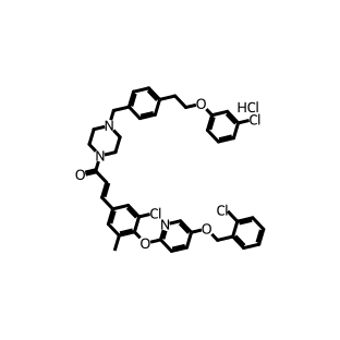 Cc1cc(C=CC(=O)N2CCN(Cc3ccc(CCOc4cccc(Cl)c4)cc3)CC2)cc(Cl)c1Oc1ccc(OCc2ccccc2Cl)cn1.Cl